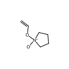 C=CO[N+]1([O-])CCCC1